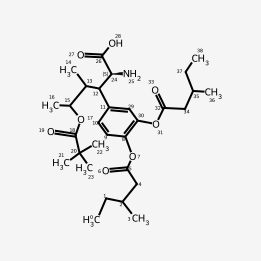 CCC(C)CC(=O)Oc1ccc(C(C(C)C(C)OC(=O)C(C)(C)C)[C@H](N)C(=O)O)cc1OC(=O)CC(C)CC